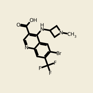 CN1CC(Nc2c(C(=O)O)cnc3cc(C(F)(F)F)c(Br)cc23)C1